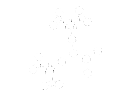 c1ccc(-c2cc(-c3ccccc3)cc(-c3cc(-c4ccc(-c5nc(-n6c7ccccc7c7ccccc76)nc(-n6c7ccccc7c7ccccc76)n5)cc4)cc(-c4ccc(-c5nc(-n6c7ccccc7c7ccccc76)nc(-n6c7ccccc7c7ccccc76)n5)cc4)c3)c2)cc1